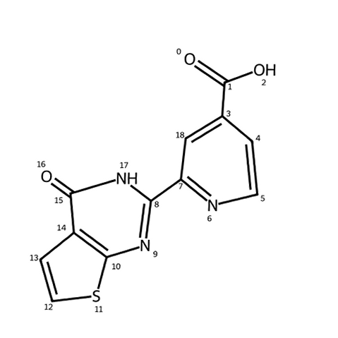 O=C(O)c1ccnc(-c2nc3sccc3c(=O)[nH]2)c1